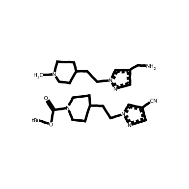 CC(C)(C)OC(=O)N1CCC(CCn2cc(C#N)cn2)CC1.CN1CCC(CCn2cc(CN)cn2)CC1